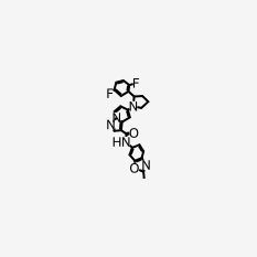 Cc1nc2ccc(NC(=O)c3cnn4ccc(N5CCCC5c5cc(F)ccc5F)cc34)cc2o1